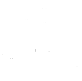 COc1ccc(C(=O)c2c(C)n(Cc3ccc(F)c(OC(C(=O)O)C(C)C)c3)c3cc(OC(F)(F)F)ccc23)cc1